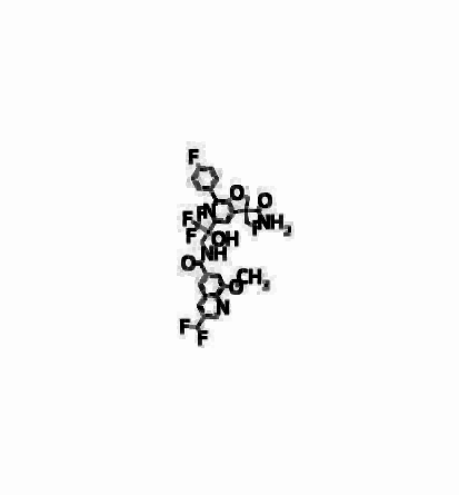 COc1cc(C(=O)NCC(O)(c2cc3c(c(-c4ccc(F)cc4)n2)OC[C@]3(CF)C(N)=O)C(F)(F)F)cc2cc(C(F)F)cnc12